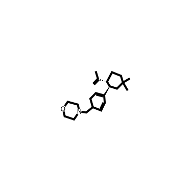 C=C(C)[C@@H]1CCC(C)(C)C[C@H]1C1=CCC(CN2CCOCC2)C=C1